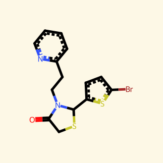 O=C1CSC(c2ccc(Br)s2)N1CCc1ccccn1